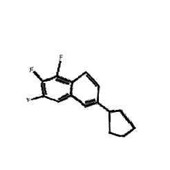 Fc1cc2cc(C3CCCC3)ccc2c(F)c1F